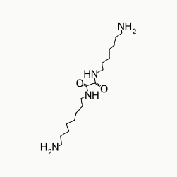 NCCCCCCCCNC(=O)C(=O)NCCCCCCCN